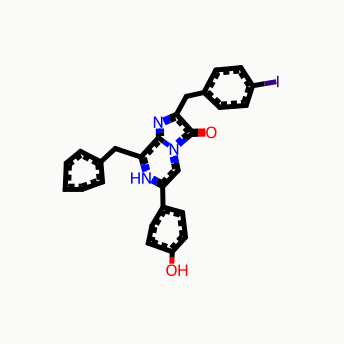 O=c1c(Cc2ccc(I)cc2)nc2c(Cc3ccccc3)[nH]c(-c3ccc(O)cc3)cn1-2